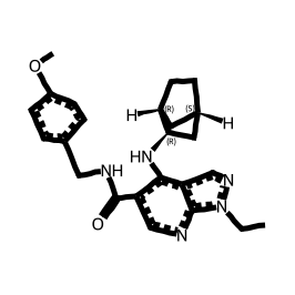 CCn1ncc2c(N[C@@H]3C[C@H]4CC[C@@H]3C4)c(C(=O)NCc3ccc(OC)cc3)cnc21